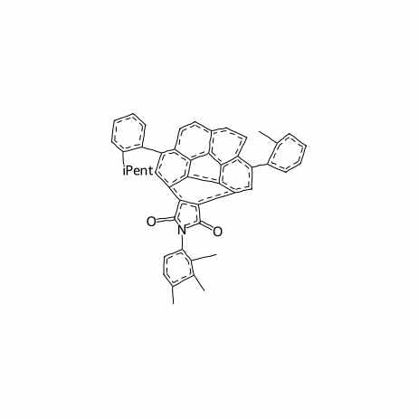 CCCC(C)c1ccccc1-c1cc2c3c(=O)n(-c4ccc(C)c(C)c4C)c(=O)c3c3cc(-c4ccccc4C)c4ccc5ccc1c1c5c4c3c21